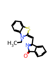 CCN1C(=CC2=NC(=O)c3ccccc32)Sc2ccccc21